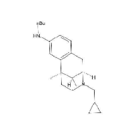 CCCCNc1ccc2c(c1)[C@]1(C)CCN(CC3CC3)[C@H](C2)[C@H]1C